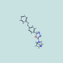 c1ccc(CCc2ccc(-c3nnc(N4CCN5CCC4CC5)o3)cc2)cc1